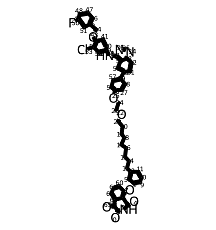 O=C1NC(=O)c2c(Oc3cccc(CCCCCCCCCOCCOc4ccc(-c5ccc6ncnc(Nc7ccc(OCc8cccc(F)c8)c(Cl)c7)c6c5)cc4)c3)cccc2C1=O